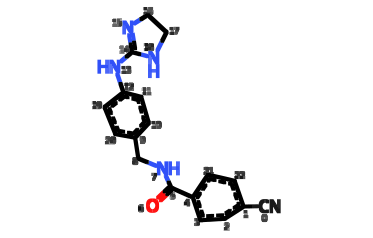 N#Cc1ccc(C(=O)NCc2ccc(NC3=NCCN3)cc2)cc1